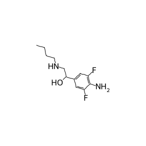 CCCCNCC(O)c1cc(F)c(N)c(F)c1